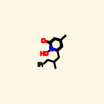 Cc1cc(CC(C)CC(C)C)n(O)c(=O)c1